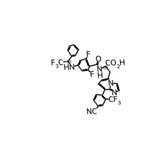 N#Cc1ccc(-c2ccc(C[C@H](NC(=O)c3c(F)cc(N[C@H](c4ccccc4)C(F)(F)F)cc3F)C(=O)O)n3ccnc23)c(C(F)(F)F)c1